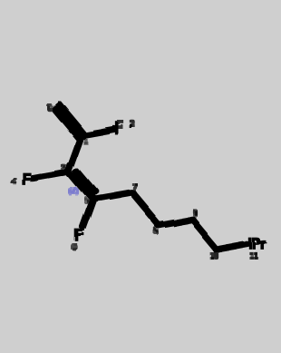 C=C(F)/C(F)=C(/F)CCCCC(C)C